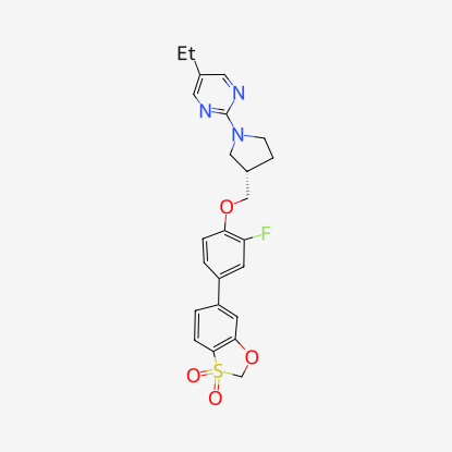 CCc1cnc(N2CC[C@H](COc3ccc(-c4ccc5c(c4)OCS5(=O)=O)cc3F)C2)nc1